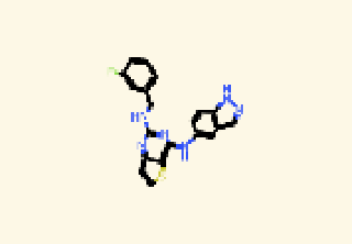 Fc1cccc(CNc2nc(Nc3ccc4[nH]ncc4c3)c3sccc3n2)c1